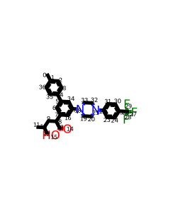 Cc1ccc(-c2cc(C(CC(C)C)C(=O)O)cc(N3CCN(c4ccc(C(F)(F)F)cc4)CC3)c2)cc1